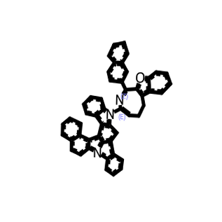 C1=C(n2c3ccccc3c3c4c5c6ccccc6ccc5n5c6ccccc6c(cc32)c45)\N=C(\c2ccc3ccccc3c2)c2oc3ccccc3c2CC/1